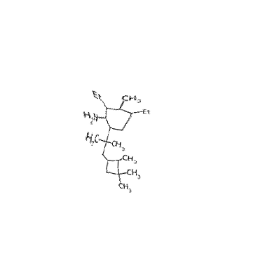 CCC1CC(C(C)(C)CC2CC(C)(C)C2C)C(N)C(CC)C1C